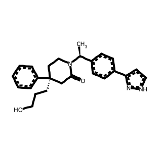 C[C@@H](c1ccc(-c2cc[nH]n2)cc1)N1CC[C@](CCCO)(c2ccccc2)CC1=O